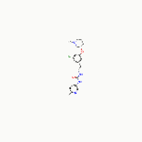 CC(=O)N1CCC[C@@H](Oc2cc(F)cc(CCNC(=O)Nc3ccc(C)nc3)c2)C1